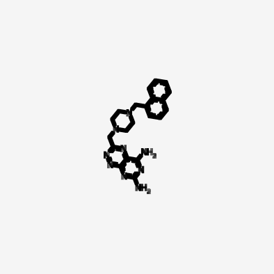 Nc1nc(N)c2nc(CN3CCN(Cc4cccc5ccccc45)CC3)nnc2n1